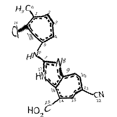 Cc1cccc(Nc2nc3cc(C#N)cc(C(=O)O)c3[nH]2)c1Cl